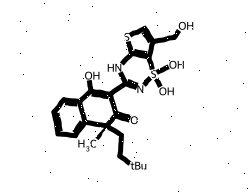 CC(C)(C)CC[C@@]1(C)C(=O)C(C2=NS(O)(O)c3c(CO)csc3N2)=C(O)c2ccccc21